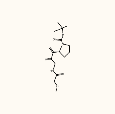 C=C(CNC(=O)COC)C(=C)[C@@H]1CCCN1C(=O)OC(C)(C)C